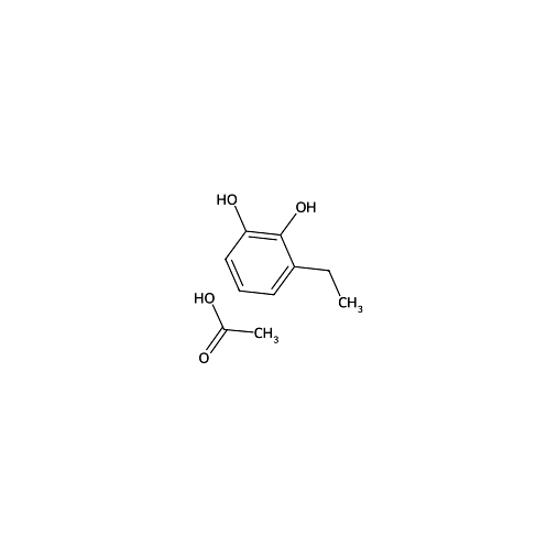 CC(=O)O.CCc1cccc(O)c1O